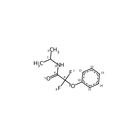 CC(C)NC(=O)C(F)(F)Oc1ccccc1